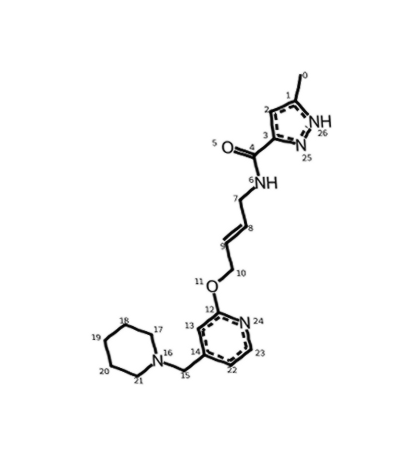 Cc1cc(C(=O)NCC=CCOc2cc(CN3CCCCC3)ccn2)n[nH]1